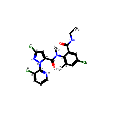 CCNC(=O)c1cc(Cl)cc(C)c1N(C)C(=O)c1cc(Br)nn1-c1ncccc1Cl